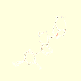 Cc1ccc(-c2csc3c(OC4C5CNCC4COC5)ncnc23)c(F)c1